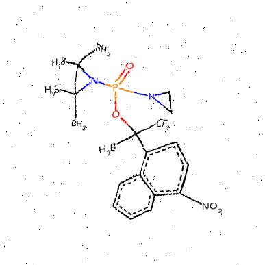 BC(OP(=O)(N1CC1)N1C(B)(B)C1(B)B)(c1ccc([N+](=O)[O-])c2ccccc12)C(F)(F)F